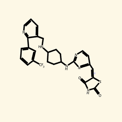 O=C1NC(=O)/C(=C\c2ccnc(NC3CCC(NCc4cccnc4-c4cccc(C(F)(F)F)c4)CC3)n2)S1